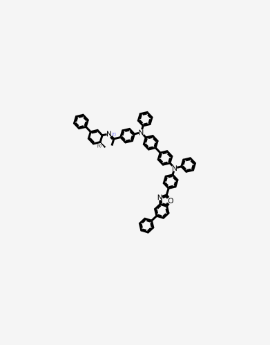 C/C(=N\C1C=C(c2ccccc2)C=C[C@@H]1C)c1ccc(N(c2ccccc2)c2ccc(-c3ccc(N(c4ccccc4)c4ccc(-c5nc6cc(-c7ccccc7)ccc6o5)cc4)cc3)cc2)cc1